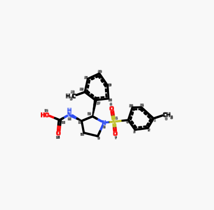 Cc1ccc(S(=O)(=O)N2CC[C@@H](NC(=O)O)[C@H]2c2ccccc2C)cc1